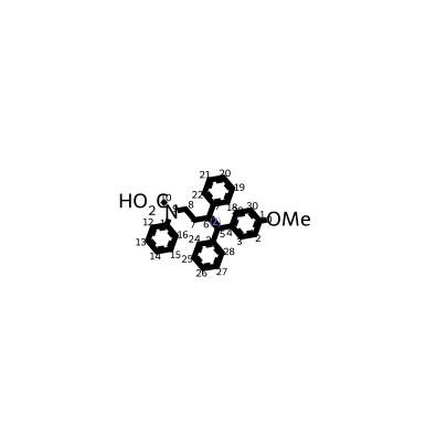 COc1ccc(/C(=C(/CCN(C(=O)O)c2ccccc2)c2ccccc2)c2ccccc2)cc1